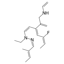 C=CNCC(=C)C(/C=C\N(CC)/N=C\C(C)=C\C)=C\C(F)=C/C